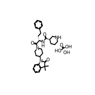 CC1(C)C(=O)N(C2CCN(C(=O)[C@H](CCc3ccccc3)NC(=O)[C@@H]3CCCNC3)CC2)c2ccccc21.O=P(O)(O)O